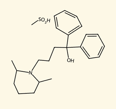 CC1CCCC(C)N1CCCC(O)(c1ccccc1)c1ccccc1.CS(=O)(=O)O